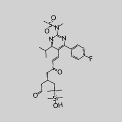 CC(C)c1nc(N(C)S(C)(=O)=O)nc(-c2ccc(F)cc2)c1/C=C/C(=O)C[C@H](CC=O)CC(C)(C)[Si](C)(C)O